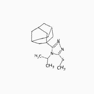 CSc1nnc(C23CC4CC(CC(C4)C2)C3)n1C(C)C